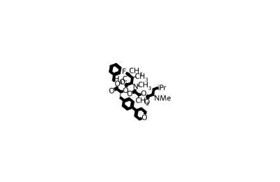 CN[C@@H](CC(C)C)C(=O)O[C@H](C)C(=O)N(C)[C@H](C(=O)O[C@H](Cc1ccc(C2=CCOCC2)cc1)C(=O)OCc1ccccc1)[C@@H](C)C(C)(C)F